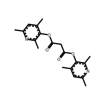 Cc1cc(C)c(OC(=O)CC(=O)Oc2c(C)cc(C)nc2C)c(C)n1